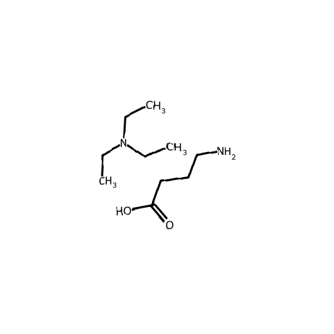 CCN(CC)CC.NCCCC(=O)O